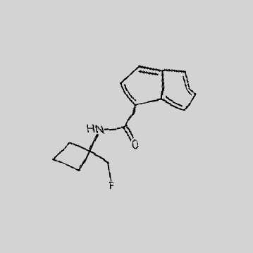 O=C(NC1(CF)CCC1)C1=CC=C2C=CC=C21